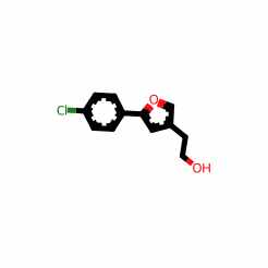 OCCc1coc(-c2ccc(Cl)cc2)c1